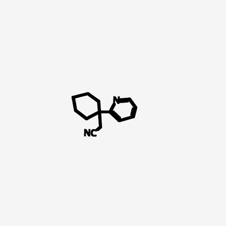 N#CCC1(c2ccccn2)CCCCC1